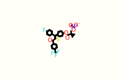 O=C(c1ccc(C(F)(F)F)cc1)c1sc2cc(OC(=O)C3(CO[N+](=O)[O-])CC3)ccc2c1-c1ccc(F)cc1